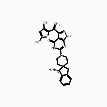 C=C(c1sc(C#N)cc1C)c1n[nH]c2nc(N3CCC4(CC3)Cc3ccccc3[C@H]4N)[nH]c(=O)c12